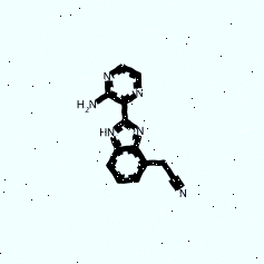 N#CCc1cccc2[nH]c(-c3nccnc3N)nc12